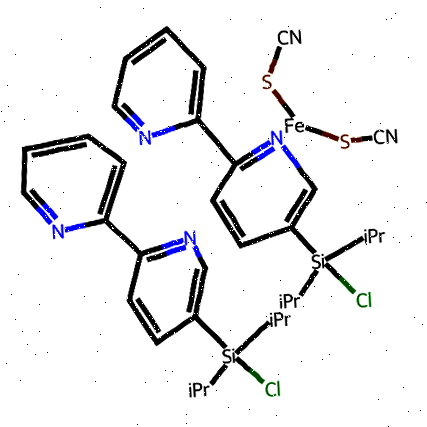 CC(C)[Si](Cl)(c1ccc(-c2ccccn2)nc1)C(C)C.CC(C)[Si](Cl)(c1ccc(-c2ccccn2)nc1)C(C)C.N#C[S][Fe][S]C#N